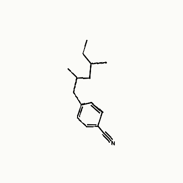 CCC(C)CC(C)Cc1ccc(C#N)cc1